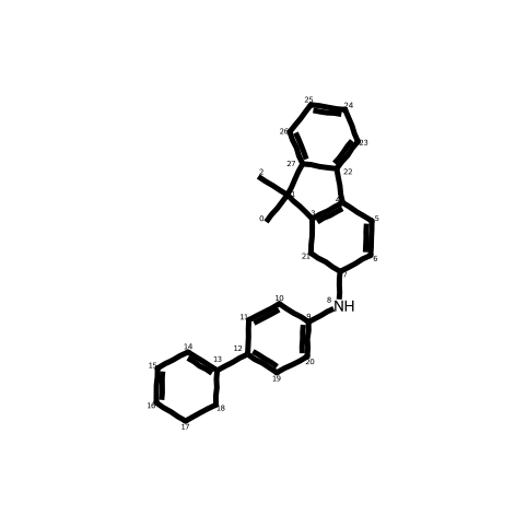 CC1(C)C2=C(C=CC(Nc3ccc(C4=CC=CCC4)cc3)C2)c2ccccc21